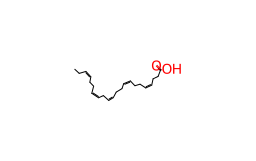 CC/C=C\CC/C=C\C/C=C\CC/C=C\CC/C=C\CCC(=O)O